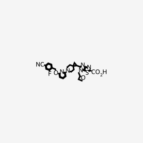 N#Cc1ccc(COc2cccc(N3CCC4(CC3)CC4c3nc4nc(C(=O)O)sc4n3CC3CCO3)n2)c(F)c1